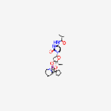 CC[C@H]1O[C@@H](n2ccc(NC(=O)C(C)C)nc2=O)CC1OP1OC2(CCCC2)[C@@H]2CCCCN21